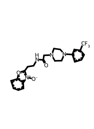 O=C(CN1CCN(c2cccc(C(F)(F)F)c2)CC1)NCCc1oc2ccccc2[n+]1[O-]